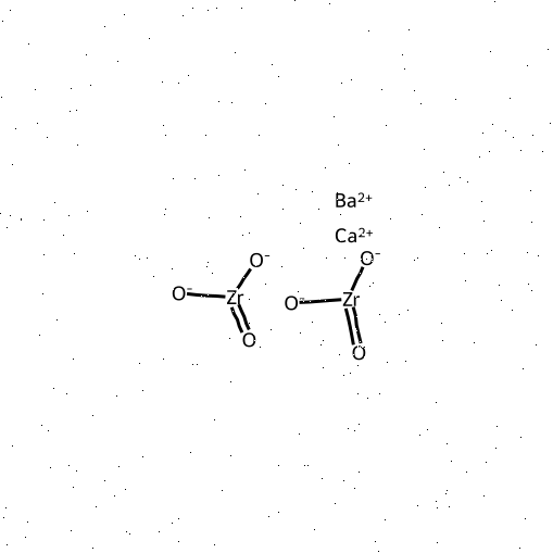 [Ba+2].[Ca+2].[O]=[Zr]([O-])[O-].[O]=[Zr]([O-])[O-]